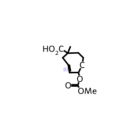 COC(=O)OC1/C=C/CC(C)(C(=O)O)CCC1